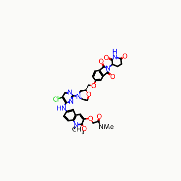 CNC(=O)COc1cc2cc(Nc3nc(N4CCO[C@H](COc5ccc6c(c5)C(=O)N(C5CCC(=O)NC5=O)C6=O)C4)ncc3Cl)ccc2n(C)c1=O